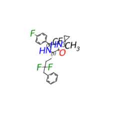 CC1(NC(=O)[C@H](CCC(F)(F)Cc2ccccc2)N[C@@H](c2ccc(F)cc2)C(F)(F)F)CC1